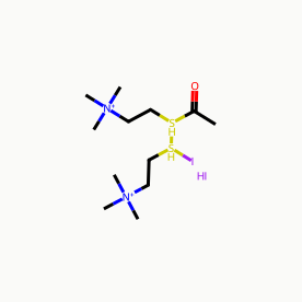 CC(=O)[SH](CC[N+](C)(C)C)[SH](I)CC[N+](C)(C)C.I